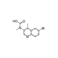 Cc1c(N(C)C(=O)O)cnc2ccc(Br)cc12